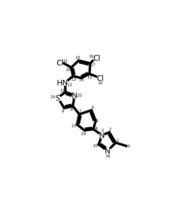 Cc1cn(-c2ccc(-c3csc(Nc4cc(Cl)c(Cl)cc4Cl)n3)cc2)cn1